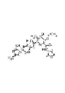 CCOc1c(C(=O)Nc2cnoc2)nc(N(C)Cc2cnc(-c3cn(C)nc3C)cn2)n(C)c1=O